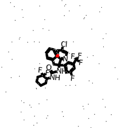 O=C(NC1CCCCC1(F)F)NC(Cc1ccccc1)(c1cc(F)cc(C(F)(F)F)c1)c1ccc(Cl)cn1